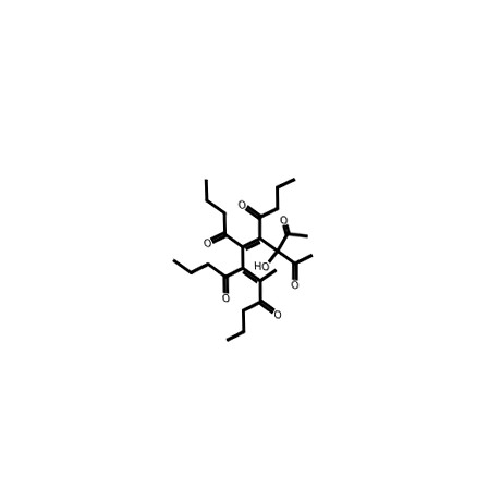 CCCC(=O)C(C)=C(C(=O)CCC)C(C(=O)CCC)=C(C(=O)CCC)C(O)(C(C)=O)C(C)=O